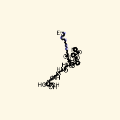 CC/C=C\C/C=C\C/C=C\C/C=C/C=C/CCCC(=O)OCC(C)(C)[C@@H](OC(=O)c1ccccc1OC(=O)c1ccccc1OC(=O)c1cccnc1)C(=O)NCCC(=O)NCCSSCCNOCCN1C[C@@H](O)C[C@H](O)C1CO